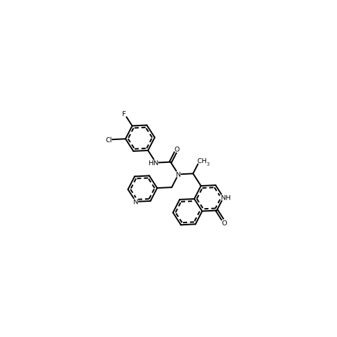 CC(c1c[nH]c(=O)c2ccccc12)N(Cc1cccnc1)C(=O)Nc1ccc(F)c(Cl)c1